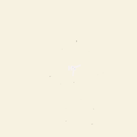 Cc1ccc(C(C)NCc2ccccc2-c2ccccc2)c(C)c1